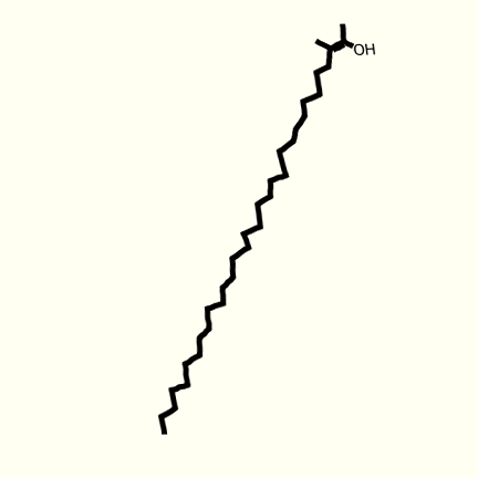 CCCCCCCCCCCCCCCCCCCCCCCCCCCCC/C(C)=C(/C)O